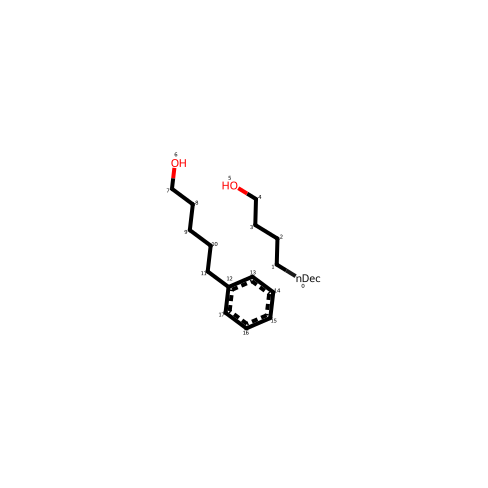 CCCCCCCCCCCCCCO.OCCCCCc1ccccc1